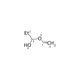 C=COC(O)CC